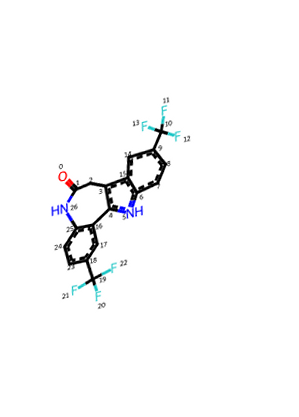 O=C1Cc2c([nH]c3ccc(C(F)(F)F)cc23)-c2cc(C(F)(F)F)ccc2N1